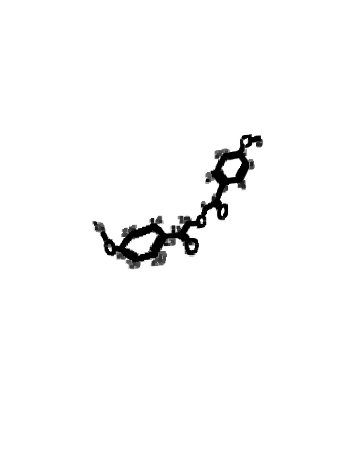 COc1ccc(C(=O)COCC(=O)c2ccc(OC)cc2)cc1